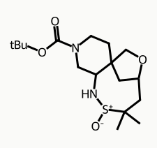 CC(C)(C)OC(=O)N1CCC23COC(C2)CC(C)(C)[S+]([O-])NC3C1